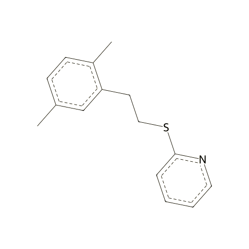 Cc1ccc(C)c(CCSc2ccccn2)c1